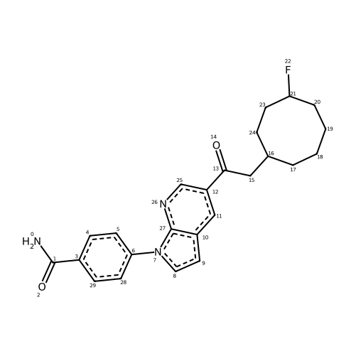 NC(=O)c1ccc(-n2ccc3cc(C(=O)CC4CCCCC(F)CC4)cnc32)cc1